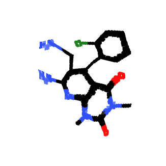 Cn1c(=O)c2c(-c3ccccc3Cl)c(CN)c(N)nc2n(C)c1=O